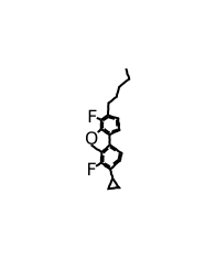 CCCCCc1ccc2c(c1F)OCc1c-2ccc(C2CC2)c1F